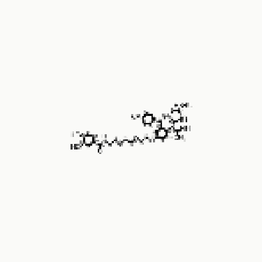 CCNC(=O)C[C@@H]1N=C(c2ccc(Cl)cc2)c2cc(OCCOCCOCCNC(=O)c3ccc(O)c(O)c3)ccc2N(C(C)=N)C1=N